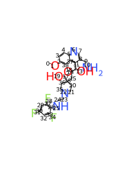 COc1ccc2ncc(CN)c(C(O)CCC3(C(=O)O)CCN(CCNc4c(F)cc(F)cc4F)CC3)c2c1